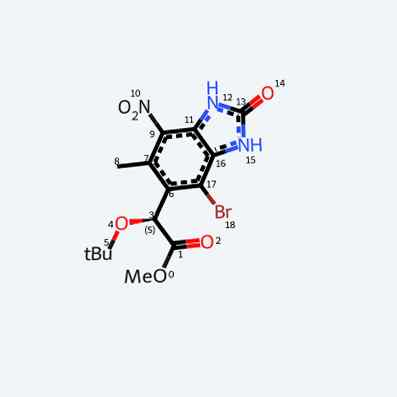 COC(=O)[C@@H](OC(C)(C)C)c1c(C)c([N+](=O)[O-])c2[nH]c(=O)[nH]c2c1Br